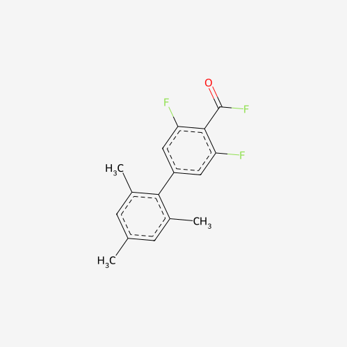 Cc1cc(C)c(-c2cc(F)c(C(=O)F)c(F)c2)c(C)c1